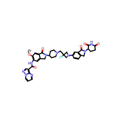 CC(C)Oc1cc2c(cc1NC(=O)c1cnn3cccnc13)CN(C1CCN(CC3(F)CN(c4ccc5c(c4)C(=O)N(C4CCC(=O)NC4=O)C5)C3)CC1)C2=O